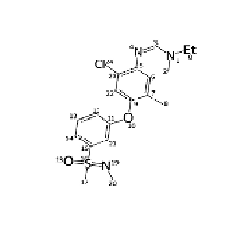 CCN(C)/C=N\c1cc(C)c(Oc2cccc(S(C)(=O)=NC)c2)cc1Cl